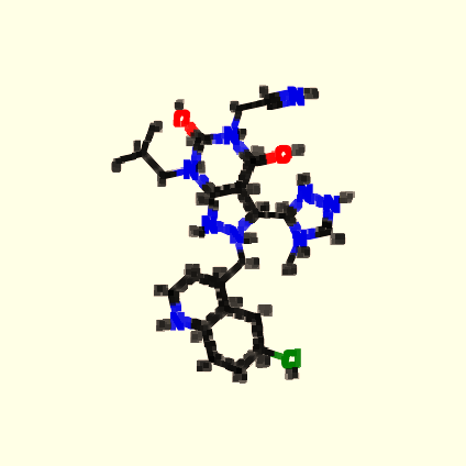 CC(C)Cn1c(=O)n(CC#N)c(=O)c2c(-c3nncn3C)n(Cc3ccnc4ccc(Cl)cc34)nc21